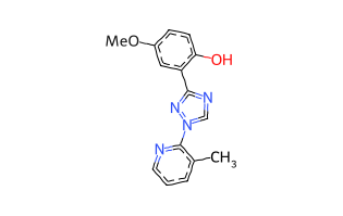 COc1ccc(O)c(-c2ncn(-c3ncccc3C)n2)c1